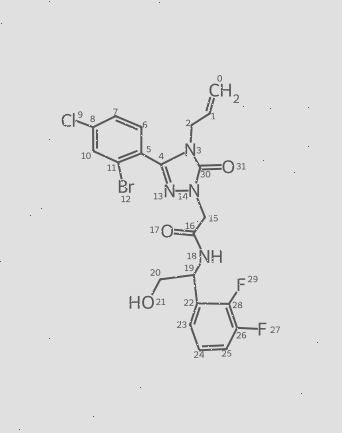 C=CCn1c(-c2ccc(Cl)cc2Br)nn(CC(=O)NC(CO)c2cccc(F)c2F)c1=O